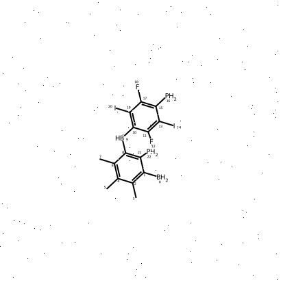 Bc1c(C)c(C)c(C)c(Bc2c(F)c(I)c(P)c(F)c2I)c1P